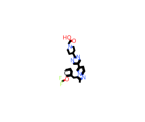 Cc1nc2ccc(-c3cnc(C4CCN(CC(=O)O)CC4)nc3)cn2c1Cc1ccccc1OC(F)F